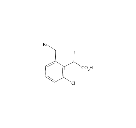 CC(C(=O)O)c1c(Cl)cccc1CBr